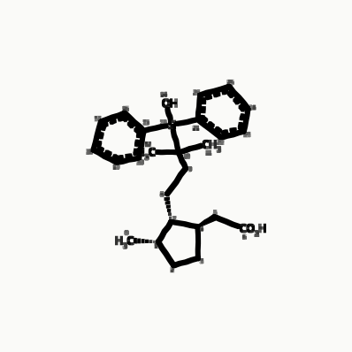 C[C@H]1CC[C@H](CC(=O)O)[C@H]1CCC(C)(C)[Si](O)(c1ccccc1)c1ccccc1